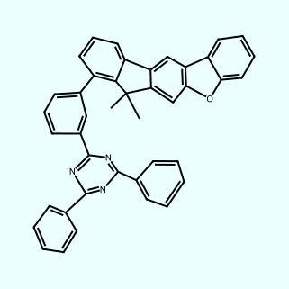 CC1(C)c2cc3oc4ccccc4c3cc2-c2cccc(-c3cccc(-c4nc(-c5ccccc5)nc(-c5ccccc5)n4)c3)c21